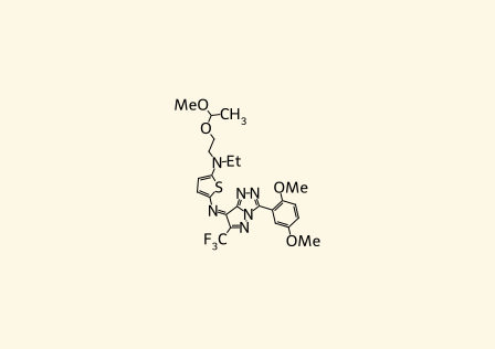 CCN(CCOC(C)OC)c1ccc(/N=C2/C(C(F)(F)F)=Nn3c2nnc3-c2cc(OC)ccc2OC)s1